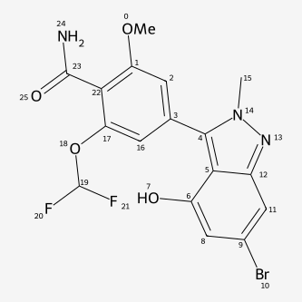 COc1cc(-c2c3c(O)cc(Br)cc3nn2C)cc(OC(F)F)c1C(N)=O